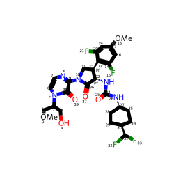 COCC(CO)n1ccnc(N2C[C@@H](c3c(F)cc(OC)cc3F)[C@H](NC(=O)N[C@H]3CC[C@H](C(F)F)CC3)C2=O)c1=O